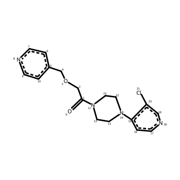 O=C(COCc1ccncc1)N1CCN(c2ccncc2Cl)CC1